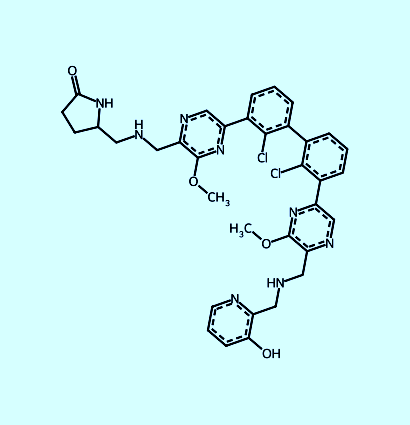 COc1nc(-c2cccc(-c3cccc(-c4cnc(CNCC5CCC(=O)N5)c(OC)n4)c3Cl)c2Cl)cnc1CNCc1ncccc1O